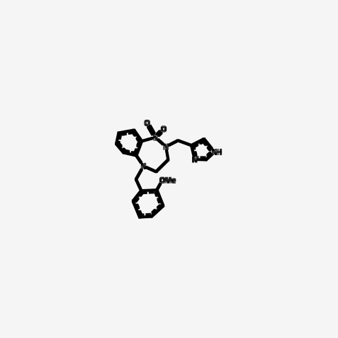 COc1ccccc1CN1CCN(Cc2c[nH]cn2)S(=O)(=O)c2ccccc21